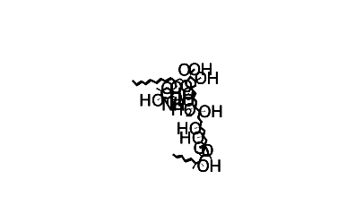 C/C=C/C=C/C=C/C=C/[C@@H](C[C@@H]1O[C@](O)(C[C@@H](O)C[C@@H](O)[C@H](O)CC[C@@H](O)C[C@@H](O)CC(=O)O[C@@H](C)[C@H](C)[C@H](O)[C@@H](C)/C=C/C=C/C)C[C@H](O)[C@H]1C(=O)O)O[C@@H]1O[C@H](C)[C@@H](O)[C@H](N)[C@@H]1O